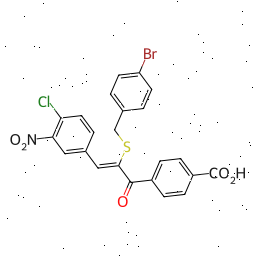 O=C(O)c1ccc(C(=O)C(=Cc2ccc(Cl)c([N+](=O)[O-])c2)SCc2ccc(Br)cc2)cc1